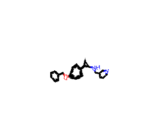 c1ccc(COc2ccc(C3CC3NCc3cccnc3)cc2)cc1